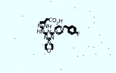 O=C(O)Cc1cnc(Nc2nc(N3CCOCC3)nc(N3CCN(Cc4ccc(F)cc4)CC3)n2)[nH]1